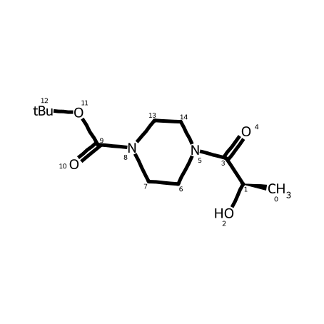 C[C@@H](O)C(=O)N1CCN(C(=O)OC(C)(C)C)CC1